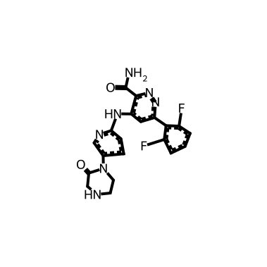 NC(=O)c1nnc(-c2c(F)cccc2F)cc1Nc1ccc(N2CCNCC2=O)cn1